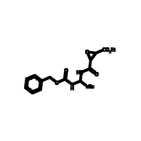 CCCCC(NC(=O)OCc1ccccc1)NC(=O)C1OC1C(=O)OCC